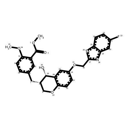 COC(=O)c1cc(C[C@H]2COc3ccc(OCc4nc5cc(F)ccc5s4)cc3[C@H]2O)ccc1OC